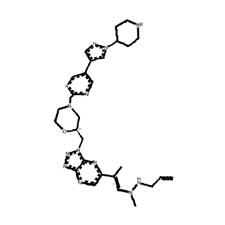 C=CCNN(C)/C=C(\C)c1cnc2nnn(C[C@@H]3CN(c4ncc(-c5cnn(C6CCNCC6)c5)cn4)CCO3)c2n1